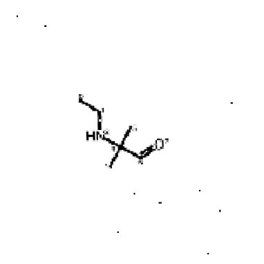 CCNC(C)(C)C=O